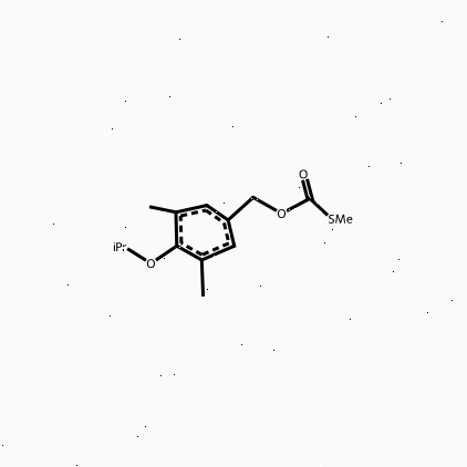 CSC(=O)OCc1cc(C)c(OC(C)C)c(C)c1